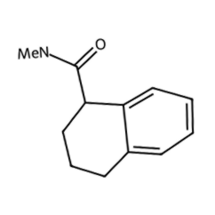 CNC(=O)C1CCCc2ccccc21